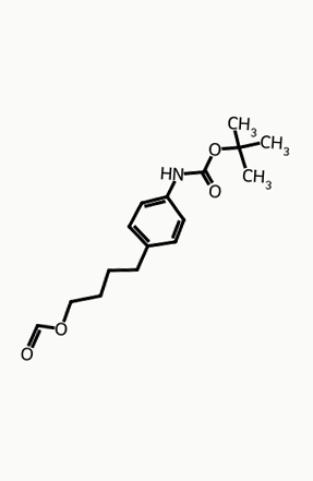 CC(C)(C)OC(=O)Nc1ccc(CCCCOC=O)cc1